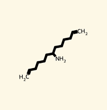 C=CCCCCC(N)CCCCC=C